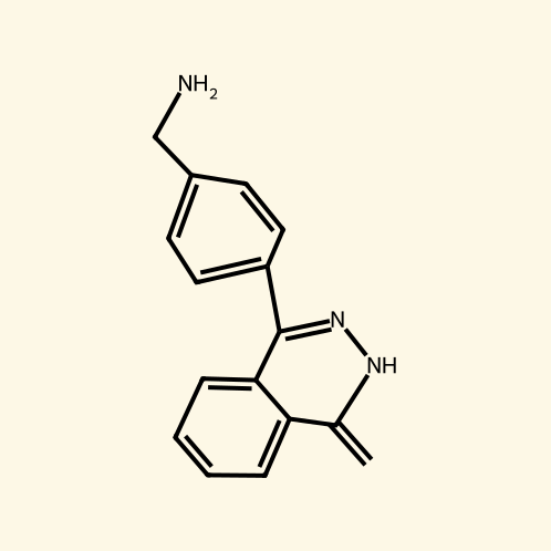 C=C1NN=C(c2ccc(CN)cc2)c2ccccc21